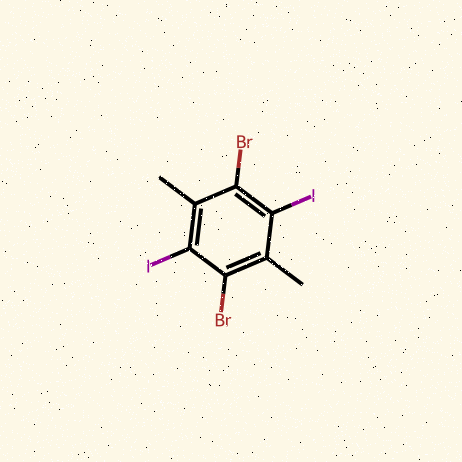 Cc1c(Br)c(I)c(C)c(Br)c1I